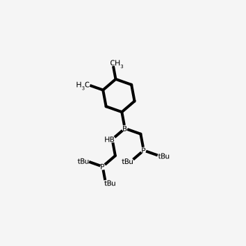 CC1CCC(B(BCP(C(C)(C)C)C(C)(C)C)CP(C(C)(C)C)C(C)(C)C)CC1C